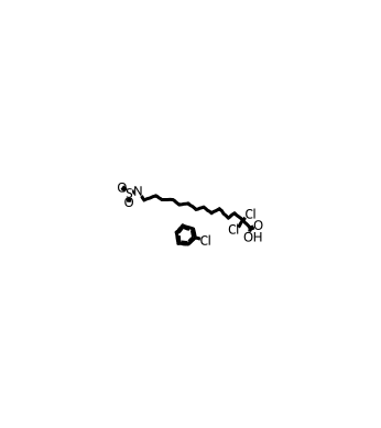 Clc1ccccc1.O=C(O)C(Cl)(Cl)CCCCCCCCCCCCN=S(=O)=O